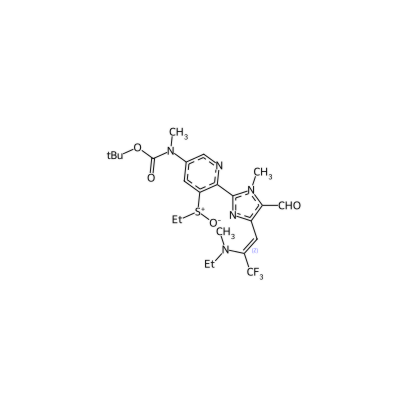 CCN(C)/C(=C\c1nc(-c2ncc(N(C)C(=O)OC(C)(C)C)cc2[S+]([O-])CC)n(C)c1C=O)C(F)(F)F